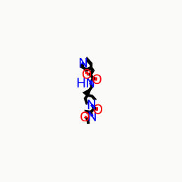 Cc1nc(C(=O)N2CCC3(CC2)CC3CNC(=O)c2cc3ccncc3o2)co1